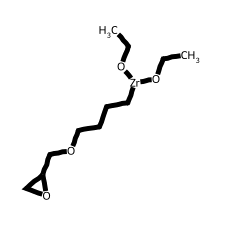 CC[O][Zr]([CH2]CCCOCC1CO1)[O]CC